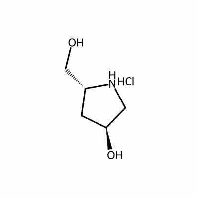 Cl.OC[C@H]1C[C@H](O)CN1